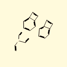 C1=Cc2ccccc21.C1=Cc2ccccc21.C=C[SiH](C=C)C=C